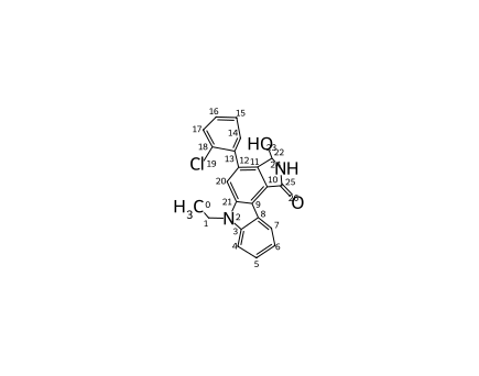 CCn1c2ccccc2c2c3c(c(-c4ccccc4Cl)cc21)C(O)NC3=O